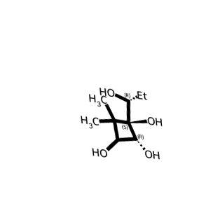 CC[C@@H](O)[C@]1(O)[C@H](O)C(O)C1(C)C